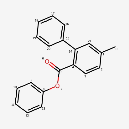 Cc1ccc(C(=O)Oc2ccccc2)c(-c2ccccc2)c1